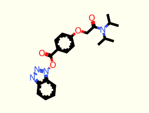 CC(C)N(C(=O)COc1ccc(C(=O)On2nnc3ccccc32)cc1)C(C)C